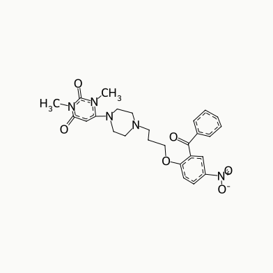 Cn1c(N2CCN(CCCOc3ccc([N+](=O)[O-])cc3C(=O)c3ccccc3)CC2)cc(=O)n(C)c1=O